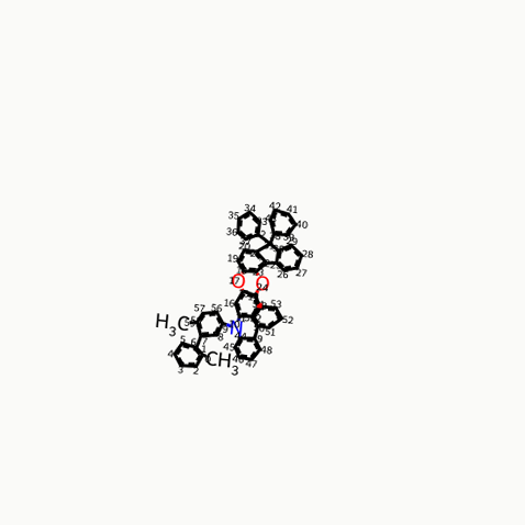 Cc1ccccc1-c1cc(N(c2ccc3c(c2)Oc2ccc4c(c2O3)-c2ccccc2C4(c2ccccc2)c2ccccc2)c2ccccc2-c2ccccc2)ccc1C